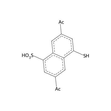 CC(=O)c1cc(S(=O)(=O)O)c2cc(C(C)=O)cc(S)c2c1